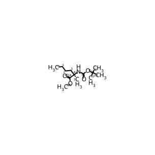 CCCC[C@](C)(NC(=O)OC(C)(C)C)C(=O)OC